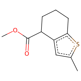 COC(=O)C1CCCc2sc(C)cc21